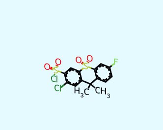 CC1(C)c2ccc(F)cc2S(=O)(=O)c2cc(S(=O)(=O)Cl)c(Cl)cc21